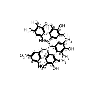 Cc1cc(NN(c2cc(C)c(O)c(C)c2)N(c2cc(C)c(O)c(C)c2)N(Nc2cc([N+](=O)[O-])cc([N+](=O)[O-])c2)c2cc(C)c(O)c(C)c2)cc(C)c1O